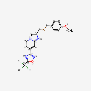 COc1ccc(CSCc2cn3ccc(-c4noc(C(F)(F)F)n4)cc3n2)cc1